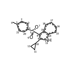 Cc1ccc(S(=O)(=O)c2c(C3CC3)[nH]c3ccccc23)cc1